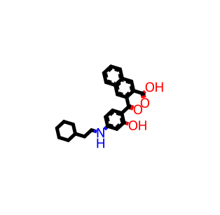 O=C(O)c1cc2ccccc2cc1C(=O)c1ccc(NCCC2CCCCC2)cc1O